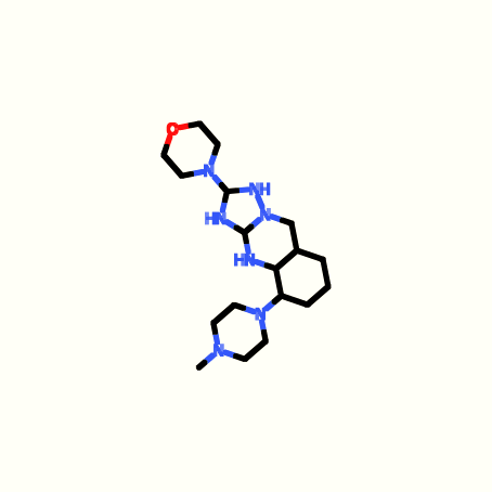 CN1CCN(C2CCCC3CN4NC(N5CCOCC5)NC4NC32)CC1